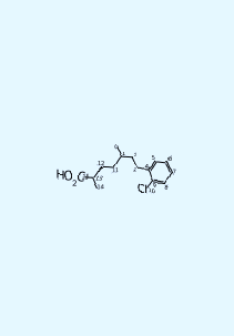 CC(CCc1ccccc1Cl)CCC(C)C(=O)O